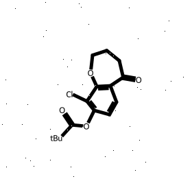 CC(C)(C)C(=O)Oc1ccc2c(c1Cl)OCCCC2=O